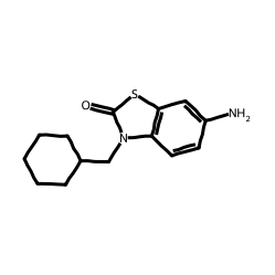 Nc1ccc2c(c1)sc(=O)n2CC1CCCCC1